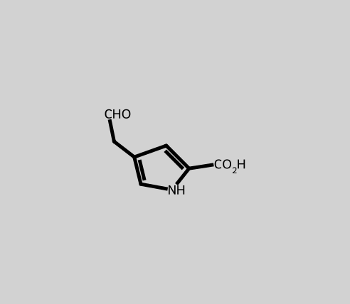 O=CCc1c[nH]c(C(=O)O)c1